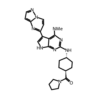 CNc1nc(N[C@H]2CC[C@H](C(=O)N3CCCC3)CC2)nc2[nH]cc(-c3ccn4nccc4n3)c12